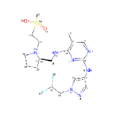 Cc1cnc(Nc2cnn(CC(F)F)c2)nc1NC[C@H]1CCCN1CCS(C)(=O)=O